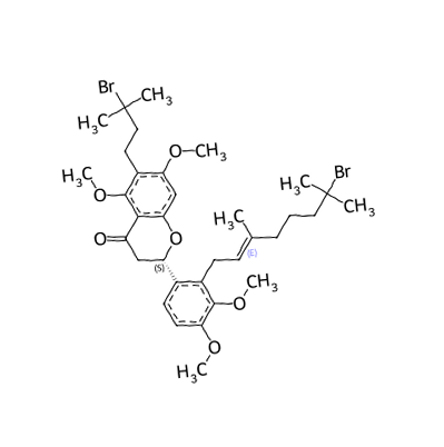 COc1cc2c(c(OC)c1CCC(C)(C)Br)C(=O)C[C@@H](c1ccc(OC)c(OC)c1C/C=C(\C)CCCC(C)(C)Br)O2